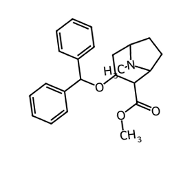 COC(=O)C1C(OC(c2ccccc2)c2ccccc2)CC2CCC1N2C